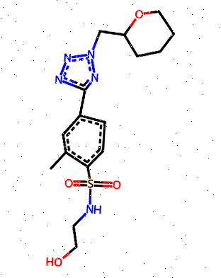 Cc1cc(-c2nnn(CC3CCCCO3)n2)ccc1S(=O)(=O)NCCO